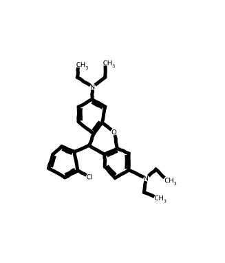 CCN(CC)c1ccc2c(c1)Oc1cc(N(CC)CC)ccc1C2c1ccccc1Cl